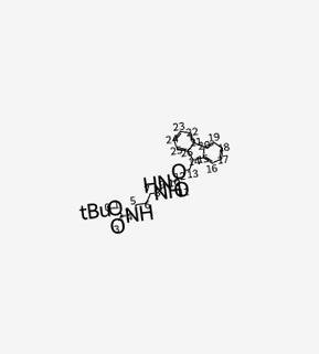 CC(C)(C)OC(=O)NCCCNNC(=O)OCC1c2ccccc2-c2ccccc21